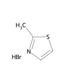 Br.Cc1nccs1